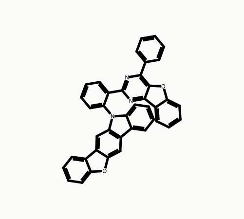 c1ccc(-c2nc(-c3ccccc3-n3c4ccccc4c4cc5oc6ccccc6c5cc43)nc3c2oc2ccccc23)cc1